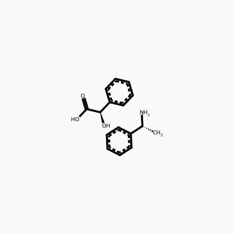 C[C@@H](N)c1ccccc1.O=C(O)[C@H](O)c1ccccc1